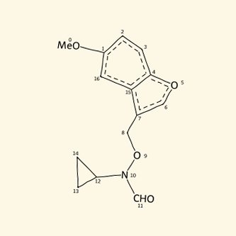 COc1ccc2occ(CON(C=O)C3CC3)c2c1